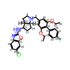 CCOc1cc(CN2CC[C@H]3C(Nc4nc5ccc(Cl)cc5o4)CC[C@H]32)cc(OCC)c1-c1ccc(F)cc1